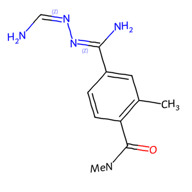 CNC(=O)c1ccc(/C(N)=N/N=C\N)cc1C